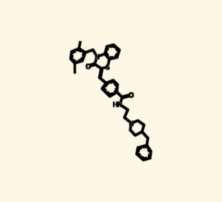 Cc1ccc(C)c(CN2C(=O)C(=Cc3ccc(C(=O)NCCN4CCC(Cc5ccccc5)CC4)cc3)Sc3ccccc32)c1